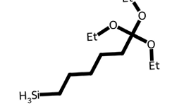 CCOC(CCCCC[SiH3])(OCC)OCC